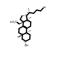 CCOC(=O)C[C@@]12CC[C@H]([C@H](C)CCCC(C)C)[C@@]1(C)CCC1=C2CC[C@H]2C[C@@H](O)CC[C@]12C